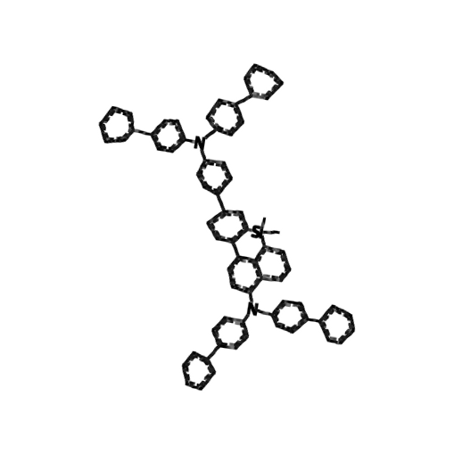 C[Si]1(C)c2cc(-c3ccc(N(c4ccc(-c5ccccc5)cc4)c4ccc(-c5ccccc5)cc4)cc3)ccc2-c2ccc(N(c3ccc(-c4ccccc4)cc3)c3ccc(-c4ccccc4)cc3)c3cccc1c23